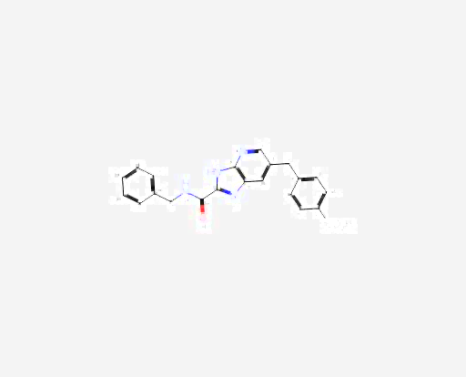 O=C(O)c1ccc(Cc2cnc3[nH]c(C(=O)NCc4ccccc4)nc3c2)cc1